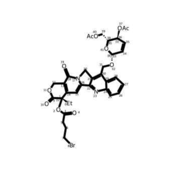 CC[C@@]1(OC(=O)CCCBr)C(=O)OCc2c1cc1n(c2=O)Cc2c-1nc1ccccc1c2CO[C@H]1C=C[C@H](OC(C)=O)[C@@H](COC(C)=O)O1